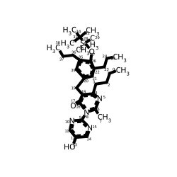 CCCCc1nc(C)n(-c2ncc(O)cn2)c(=O)c1Cc1cc(CCC)c(O[Si](C)(C)C(C)(C)C)c(CCC)c1